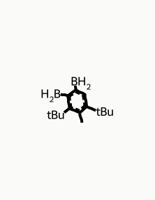 Bc1cc(C(C)(C)C)c(C)c(C(C)(C)C)c1B